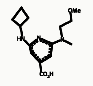 COCCN(C)c1cc(C(=O)O)cc(NC2CCC2)n1